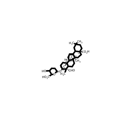 CC1(C)CC[C@]2(C(=O)O)CC[C@]3(C)C(=CC[C@@H]4[C@@]5(C)CC[C@H](O[C@H]6CCC(O)C(C(=O)O)O6)[C@@](C)(C=O)C5CC[C@]43C)C2C1